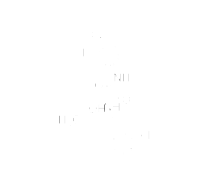 CC(O)CC1c2cccc(Cl)c2CC1NC(=O)C(=O)Nc1ccc(Cl)c(F)c1